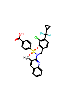 Cc1cc2ccccc2nc1N(Cc1ccc(C(F)(F)C2CC2)c(Cl)c1)S(=O)(=O)c1ccc(C(=O)O)cc1